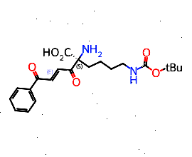 CC(C)(C)OC(=O)NCCCC[C@@](N)(C(=O)O)C(=O)/C=C/C(=O)c1ccccc1